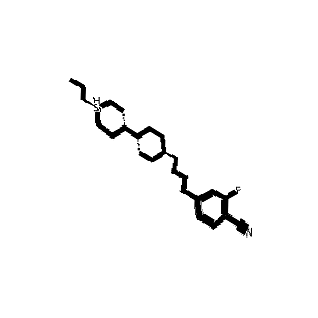 CCC[Si@H]1CC[C@H]([C@H]2CC[C@H](CCCCc3ccc(C#N)c(F)c3)CC2)CC1